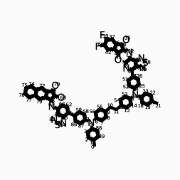 Cc1ccc(N(c2ccc(CCc3ccc(N(c4ccc(C)cc4)c4ccc(-c5ncc(N=c6c(=O)c7cc(F)c(F)cc7c6=O)c6nsnc56)cc4)cc3)cc2)c2ccc(-c3ccc(/N=c4\c(=O)c(=O)c5cc6ccccc6cc45)c4nsnc34)cc2)cc1